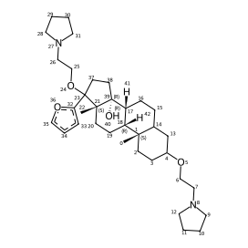 C[C@]12CCC(OCCN3CCCC3)CC1CC[C@@H]1[C@H]2CC[C@]2(C)C(OCCN3CCCC3)(c3ccco3)CC[C@@]12O